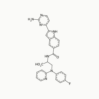 Nc1nccc(-c2cc3cc(C(=O)NC(CN(c4ccc(F)cc4)c4ccccn4)C(=O)O)ccc3[nH]2)n1